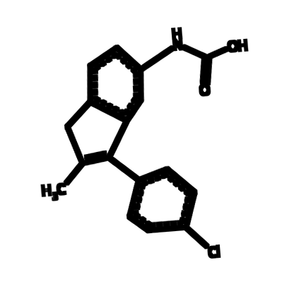 CC1=C(c2ccc(Cl)cc2)c2cc(NC(=O)O)ccc2C1